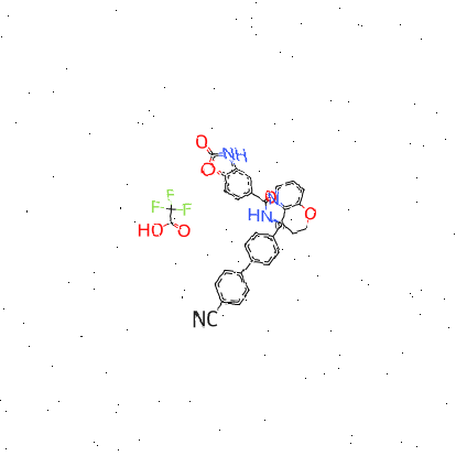 N#Cc1ccc(-c2ccc([C@@]3(NC(=O)c4ccc5oc(=O)[nH]c5c4)CCOc4cccnc43)cc2)cc1.O=C(O)C(F)(F)F